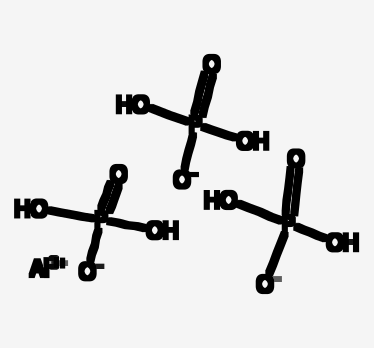 O=P([O-])(O)O.O=P([O-])(O)O.O=P([O-])(O)O.[Al+3]